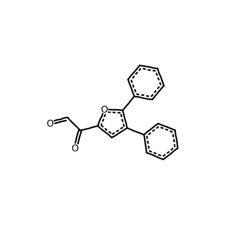 O=CC(=O)c1cc(-c2ccccc2)c(-c2ccccc2)o1